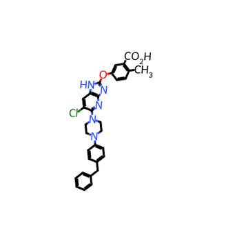 Cc1ccc(Oc2nc3nc(N4CCN(c5ccc(Cc6ccccc6)cc5)CC4)c(Cl)cc3[nH]2)cc1C(=O)O